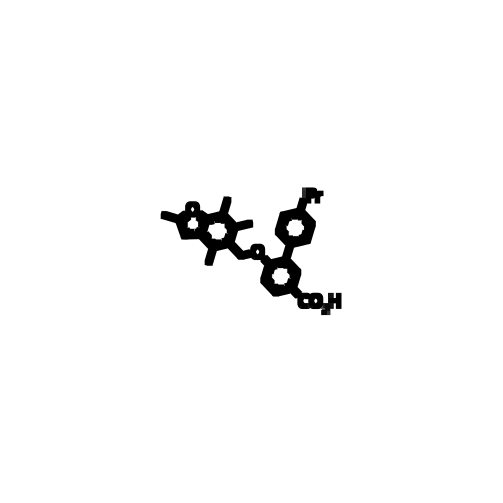 Cc1cc2c(C)c(COc3ccc(C(=O)O)cc3-c3ccc(C(C)C)cc3)c(C)c(C)c2o1